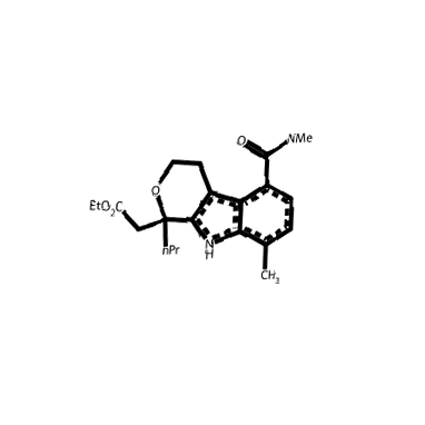 CCCC1(CC(=O)OCC)OCCc2c1[nH]c1c(C)ccc(C(=O)NC)c21